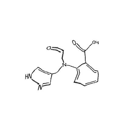 O=CN(c1cn[nH]c1)c1ccccc1C(=O)O